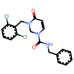 O=C(NCc1ccccc1)N1C=CC(=O)N(Cc2c(Cl)cccc2Cl)C1